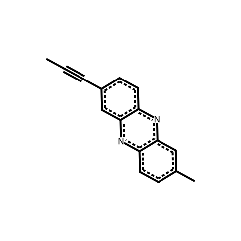 CC#Cc1ccc2nc3cc(C)ccc3nc2c1